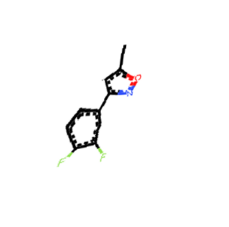 Cc1[c]c(-c2ccc(F)c(F)c2)no1